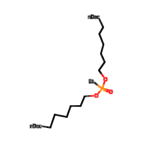 CCCCCCCCCCCCCCCCOP(=O)(CC)OCCCCCCCCCCCCCCCC